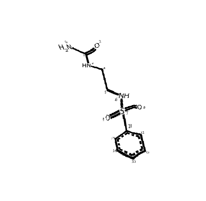 NC(=O)NCCNS(=O)(=O)c1ccccc1